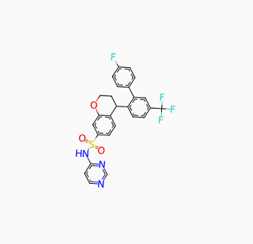 O=S(=O)(Nc1ccncn1)c1ccc2c(c1)OCCC2c1ccc(C(F)(F)F)cc1-c1ccc(F)cc1